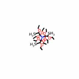 CCOC([SiH3])C(OCC)(OCC)N(C(OCC)(OCC)C([SiH3])OCC)C(OCC)(OCC)C([SiH3])OCC